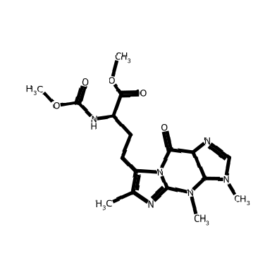 COC(=O)NC(CCc1c(C)nc2n1C(=O)C1N=CN(C)C1N2C)C(=O)OC